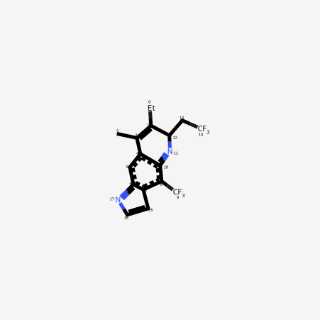 CCC1=C(C)c2cc3c(c(C(F)(F)F)c2=NC1CC(F)(F)F)C=CN=3